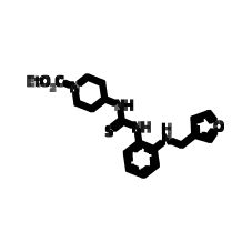 CCOC(=O)N1CCC(NC(=S)Nc2ccccc2NCc2ccoc2)CC1